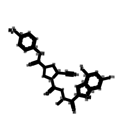 CN(CC(=O)N1CC(C(=O)Nc2ccc(N)cc2)CC1C#N)C(=O)c1cc2c(F)cc(F)cc2[nH]1